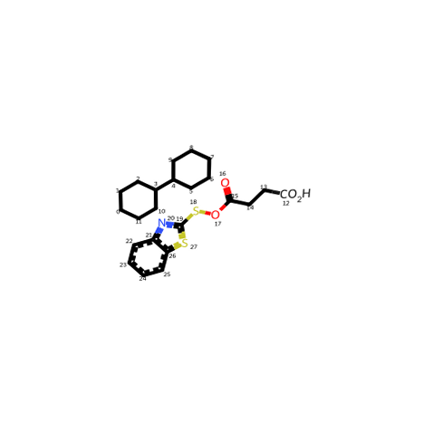 C1CCC(C2CCCCC2)CC1.O=C(O)CCC(=O)OSc1nc2ccccc2s1